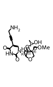 COC[C@]12COC([C@H](n3cc(C#CCN)c(=O)[nH]c3=O)O1)[C@@H]2OP(C)(=O)O